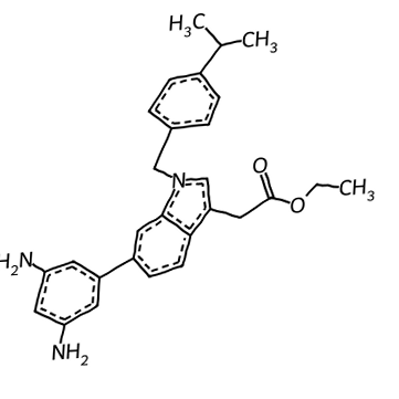 CCOC(=O)Cc1cn(Cc2ccc(C(C)C)cc2)c2cc(-c3cc(N)cc(N)c3)ccc12